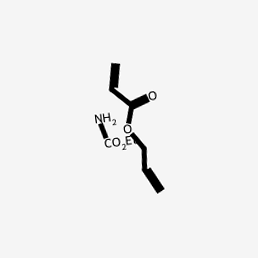 C=CCOC(=O)C=C.CCOC(N)=O